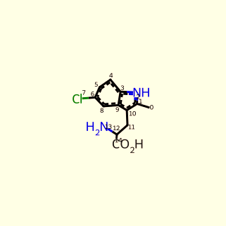 Cc1[nH]c2ccc(Cl)cc2c1CC(N)C(=O)O